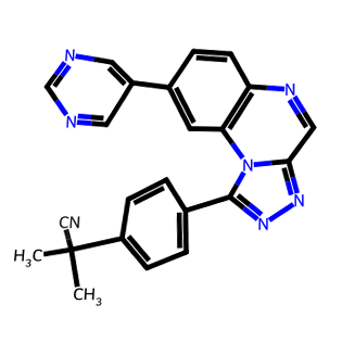 CC(C)(C#N)c1ccc(-c2nnc3cnc4ccc(-c5cncnc5)cc4n23)cc1